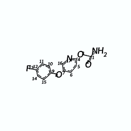 NC(=O)Oc1ccc(Oc2ccc(F)cc2)cn1